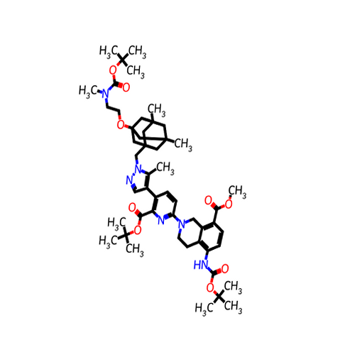 COC(=O)c1ccc(NC(=O)OC(C)(C)C)c2c1CN(c1ccc(-c3cnn(CC45CC6(C)CC(C)(C4)CC(OCCN(C)C(=O)OC(C)(C)C)(C6)C5)c3C)c(C(=O)OC(C)(C)C)n1)CC2